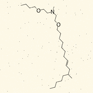 CCCCCC(C)C/C=C/CCCCCCCOCCN(C)CCOCCCC